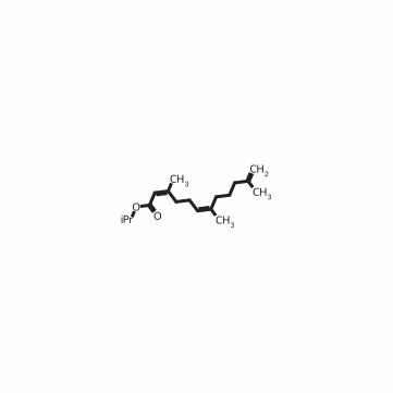 C=C(C)CCCC(C)=CCCC(C)=CC(=O)OC(C)C